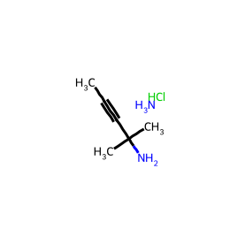 CC#CC(C)(C)N.Cl.N